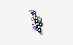 CN1CCN(CC(=O)N(C)c2c(Cl)cc(N/C(=C3\C(=O)Nc4cc(Cl)ccc43)c3ccccc3)cc2Cl)CC1